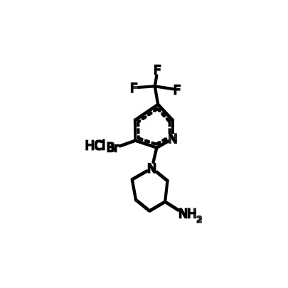 Cl.NC1CCCN(c2ncc(C(F)(F)F)cc2Br)C1